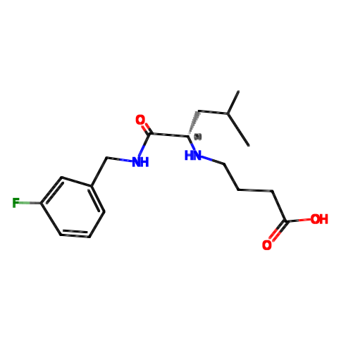 CC(C)C[C@H](NCCCC(=O)O)C(=O)NCc1cccc(F)c1